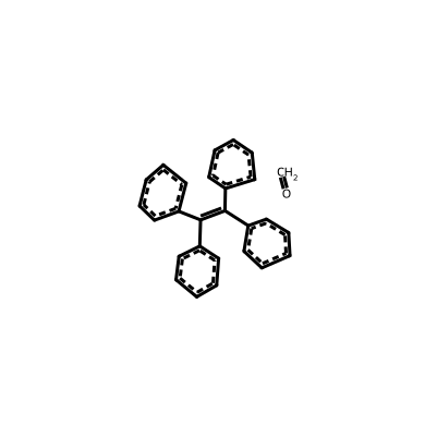 C=O.c1ccc(C(=C(c2ccccc2)c2ccccc2)c2ccccc2)cc1